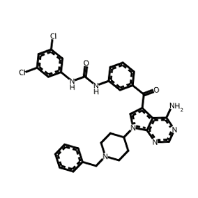 Nc1ncnc2c1c(C(=O)c1cccc(NC(=O)Nc3cc(Cl)cc(Cl)c3)c1)cn2C1CCN(Cc2ccccc2)CC1